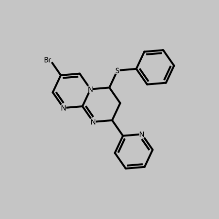 BrC1=CN2C(=NC(c3ccccn3)CC2Sc2ccccc2)N=C1